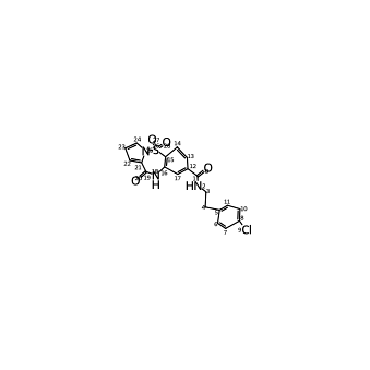 O=C(NCCc1ccc(Cl)cc1)c1ccc2c(c1)NC(=O)c1cccn1S2(=O)=O